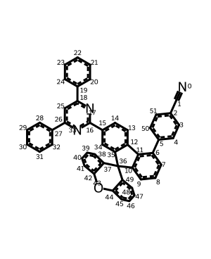 N#Cc1ccc(-c2cccc3c2-c2ccc(-c4nc(-c5ccccc5)cc(-c5ccccc5)n4)cc2C32c3ccccc3Oc3ccccc32)cc1